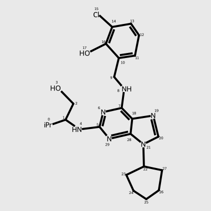 CC(C)C(CO)Nc1nc(NCc2cccc(Cl)c2O)c2ncn(C3CCCCC3)c2n1